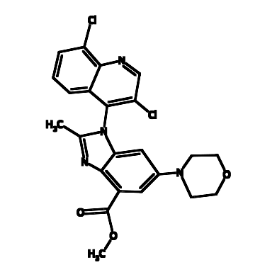 COC(=O)c1cc(N2CCOCC2)cc2c1nc(C)n2-c1c(Cl)cnc2c(Cl)cccc12